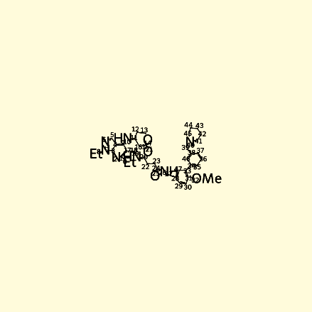 CCc1nc2c(cnn2CC)c(NC2CCOCC2)c1CNC(=O)CCC(=O)NCc1ccc(OC)c(-c2cccc(CN3CCCCC3)c2)c1